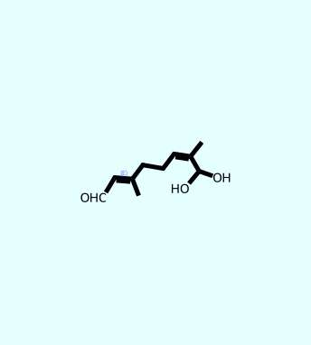 CC(=CCC/C(C)=C/C=O)C(O)O